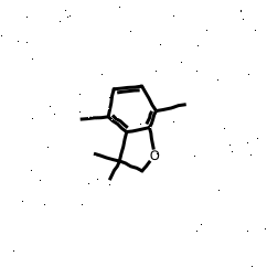 Cc1ccc(C)c2c1OCC2(C)C